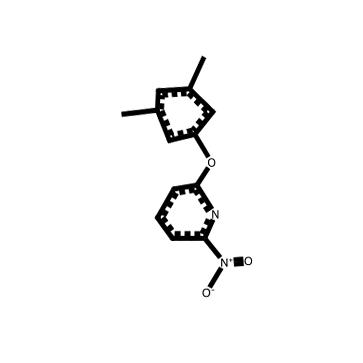 Cc1cc(C)cc(Oc2cccc([N+](=O)[O-])n2)c1